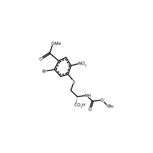 COC(=O)c1cc([N+](=O)[O-])c(SC[C@H](NC(=O)OC(C)(C)C)C(=O)O)cc1Br